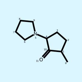 CC1CCC(N2CCCC2)C1=O